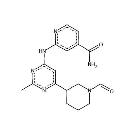 Cc1nc(Nc2cc(C(N)=O)ccn2)cc(C2CCCN(C=O)C2)n1